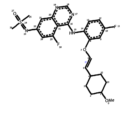 COC1CCC(/C=C/Oc2cc(F)ccc2Nc2ncnc3cc(N=S(C)(C)=O)cc(F)c23)CC1